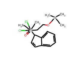 C[Si](C)(C)OC[CH2][Ti]([CH3])(=[O])([SiH3])([Cl])([Cl])[CH]1C=Cc2ccccc21